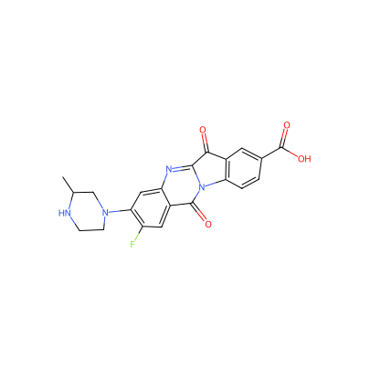 CC1CN(c2cc3nc4n(c(=O)c3cc2F)-c2ccc(C(=O)O)cc2C4=O)CCN1